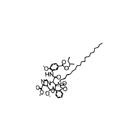 CCCCCCCCCCCCCCCCCCN1C(C(C(=O)Nc2cc(C(=O)OCC(C)CC)ccc2OC)n2cnc(C(=O)OC)c2C(=O)OC)=Nc2ccccc2S1(=O)=O